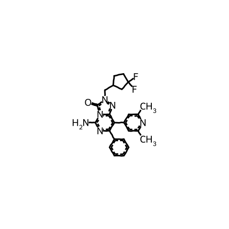 Cc1cc(-c2c(-c3ccccc3)nc(N)n3c(=O)n(CC4CCC(F)(F)C4)nc23)cc(C)n1